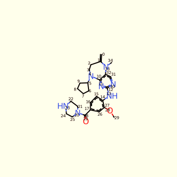 C=C1CCN(C2CCCC2)c2nc(Nc3ccc(C(=O)N4CCNCC4)cc3OC)ncc2N1C